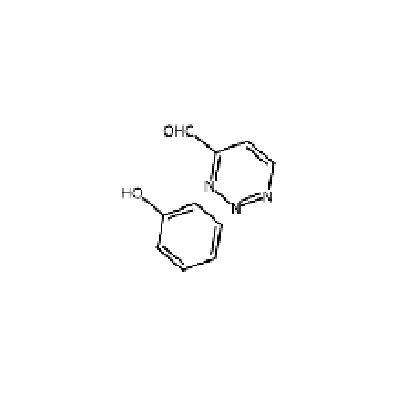 O=Cc1ccnnn1.Oc1ccccc1